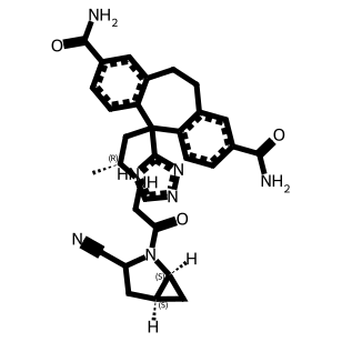 C[C@H](CC1(c2nnc[nH]2)c2ccc(C(N)=O)cc2CCc2cc(C(N)=O)ccc21)NCC(=O)N1C(C#N)C[C@@H]2C[C@@H]21